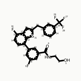 O=C(NCCO)c1cc(F)cc(-c2ccc(F)c3cc(Cc4cccc(C(F)(F)F)c4)sc23)c1